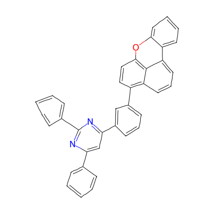 c1ccc(-c2cc(-c3cccc(-c4ccc5c6c(cccc46)-c4ccccc4O5)c3)nc(-c3ccccc3)n2)cc1